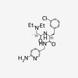 CCN(CC)[C@@H](C)C(=O)N[C@@H](Cc1cccc(Cl)c1)C(=O)NCc1ccc(N)nc1